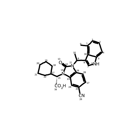 Cc1cccc2[nH]cc(C(C)n3c(=O)n([C@H](C(=O)O)C4CCCCC4)c4cc(C#N)ccc43)c12